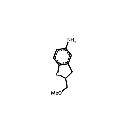 COCC1Cc2cc(N)ccc2O1